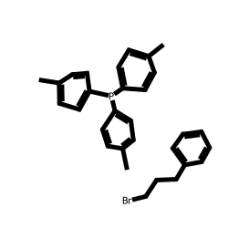 BrCCCc1ccccc1.Cc1ccc(P(c2ccc(C)cc2)c2ccc(C)cc2)cc1